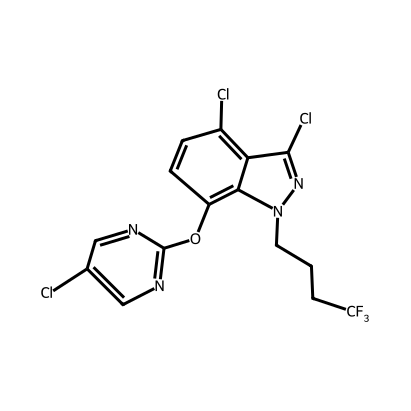 FC(F)(F)CCCn1nc(Cl)c2c(Cl)ccc(Oc3ncc(Cl)cn3)c21